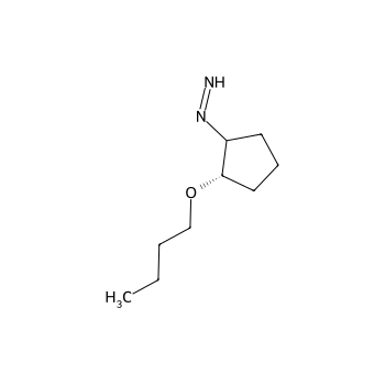 CCCCO[C@H]1CCCC1N=N